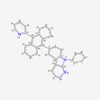 c1ccc(-n2c3ccc(-c4c5ccccc5c(-c5ccccn5)c5ccccc45)cc3c3cccnc32)cc1